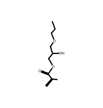 C=C(C)C(=O)OCC(O)COCCC